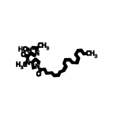 CC/C=C\C/C=C\C/C=C\C/C=C\C/C=C\CCCC(=O)N1CC[C@H](N(C)C(=O)c2cnc(C)c[n+]2O)C1